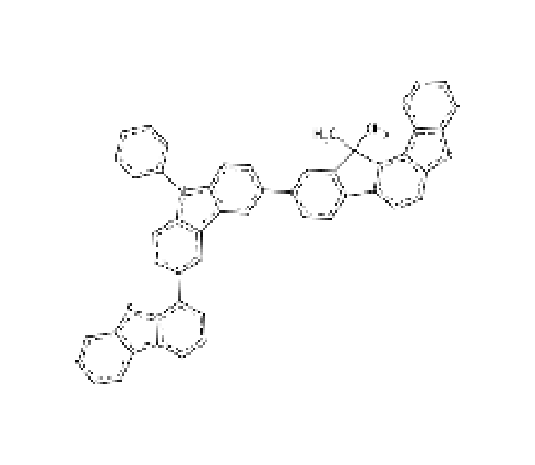 CC1(C)c2cc(-c3ccc4c(c3)c3cc(-c5cccc6c5sc5ccccc56)ccc3n4-c3ccccc3)ccc2-c2ccc3sc4ccccc4c3c21